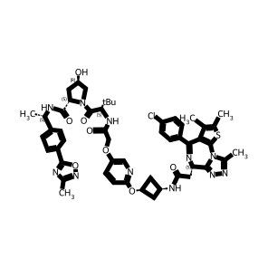 Cc1noc(-c2ccc([C@H](C)NC(=O)[C@@H]3C[C@@H](O)CN3C(=O)[C@@H](NC(=O)COc3ccc(O[C@H]4C[C@@H](NC(=O)C[C@@H]5N=C(c6ccc(Cl)cc6)c6c(sc(C)c6C)-n6c(C)nnc65)C4)nc3)C(C)(C)C)cc2)n1